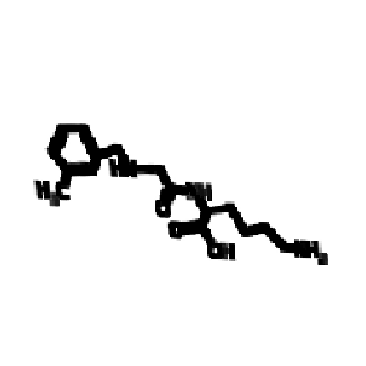 Cc1cccc(CNCC(=O)N[C@@H](CCCCN)C(=O)O)c1